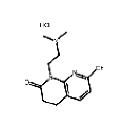 CCc1ccc2c(n1)N(CCN(C)C)C(=O)CC2.Cl